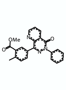 COC(=O)c1cc(-c2nn(-c3ccccc3)c(=O)c3cccnc23)ccc1C